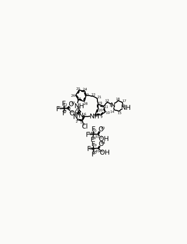 Clc1cnc2nc1Nc1ccc(CN3CCNCC3)c(c1)CCc1cccc(c1)N2.O=C(O)C(F)(F)F.O=C(O)C(F)(F)F.O=C(O)C(F)(F)F